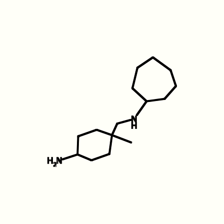 CC1(CNC2CCCCCC2)CCC(N)CC1